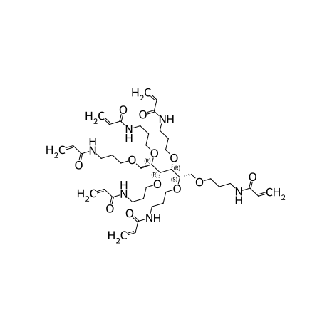 C=CC(=O)NCCCOC[C@H](OCCCNC(=O)C=C)[C@@H](OCCCNC(=O)C=C)[C@H](OCCCNC(=O)C=C)[C@@H](COCCCNC(=O)C=C)OCCCNC(=O)C=C